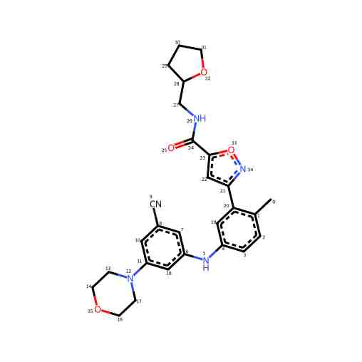 Cc1ccc(Nc2cc(C#N)cc(N3CCOCC3)c2)cc1-c1cc(C(=O)NCC2CCCO2)on1